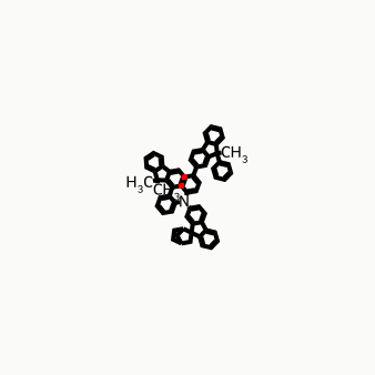 CC1(C)c2ccccc2-c2cccc(-c3ccccc3N(c3ccc(-c4ccc5c(c4)C(C)(c4ccccc4)c4ccccc4-5)cc3)c3ccc4c(c3)C3(CC5CCC3C5)c3ccccc3-4)c21